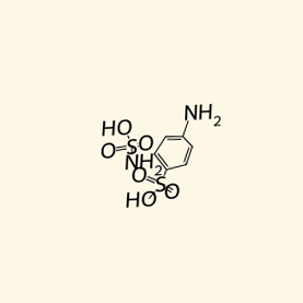 NS(=O)(=O)O.Nc1ccc(S(=O)(=O)O)cc1